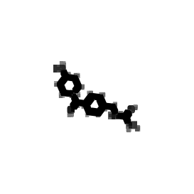 BC(=O)NCc1ccc(C(=O)N2CCC(O)CC2)cc1